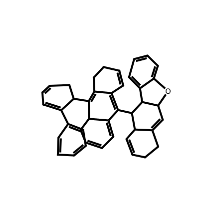 C1=CCC2C(=C1)C(C1C3C=CCCC3=CC3Oc4ccccc4C31)=C1C=CCCC1=C2C1CC=CC=C1c1ccccc1